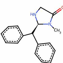 CN1C(=O)CN[C@@H]1C(c1ccccc1)c1ccccc1